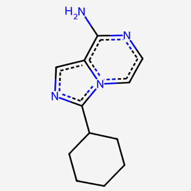 Nc1nccn2c(C3CCCCC3)ncc12